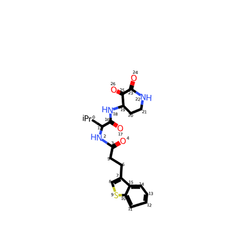 CC(C)C(NC(=O)CCc1csc2ccccc12)C(=O)NC1CCNC(=O)C1=O